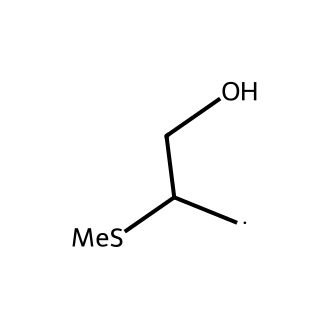 [CH2]C(CO)SC